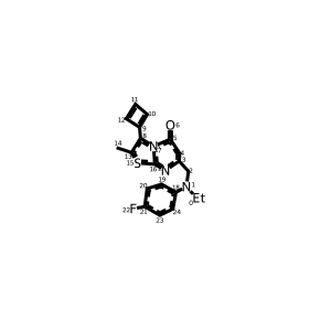 CCN(Cc1cc(=O)n2c(C3=CC=C3)c(C)sc2n1)c1ccc(F)cc1